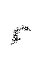 CC(C)NC(=O)c1n[nH]c2cc(-c3ccc(C(=O)NCC[C@H](O)c4ccc(Cl)cc4)s3)ccc12